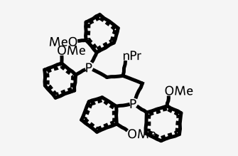 CCCC(CP(c1ccccc1OC)c1ccccc1OC)CP(c1ccccc1OC)c1ccccc1OC